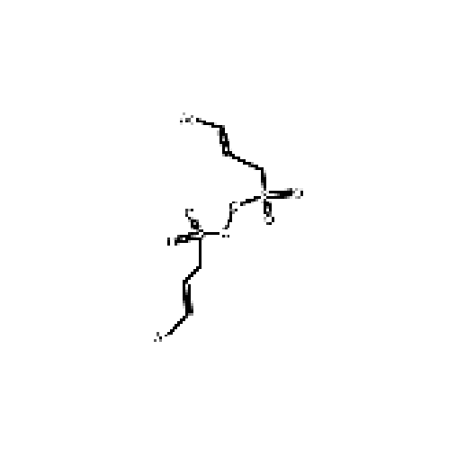 CC(=O)C=CCS(=O)(=O)OOS(=O)(=O)CC=CC(C)=O